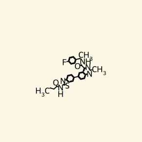 CCCC(=O)Nc1nc2ccc(-c3ccc4nc(C)nc(C(=O)N[C@@H](C)c5ccc(F)cc5)c4c3)cc2s1